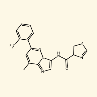 Cc1cc(-c2ccccc2C(F)(F)F)nn2c(NC(=O)C3CSC=N3)cnc12